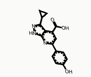 O=C(O)c1cc(-c2ccc(O)cc2)nc2[nH]nc(C3CC3)c12